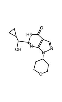 O=c1[nH]c(C(O)C2CC2)nc2c1cnn2C1CCOCC1